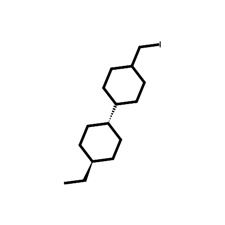 CC[C@H]1CC[C@H](C2CCC(CI)CC2)CC1